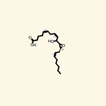 CCCCC/C=C\C[C@@H]1OC1C(O)/C=C\C/C=C\CCCC(=O)O